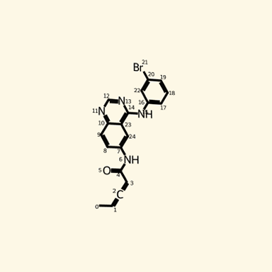 CC=C=CC(=O)Nc1ccc2ncnc(Nc3cccc(Br)c3)c2c1